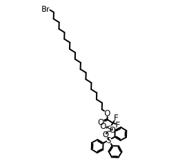 O=C(OCCCCCCCCCCCCCCCCCCCCBr)C(F)(F)S(=O)(=O)OS(c1ccccc1)(c1ccccc1)c1ccccc1